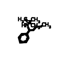 CCCCC(N[Si](C)(C)C)c1ccccc1